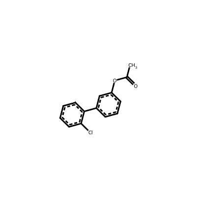 CC(=O)Oc1cccc(-c2[c]cccc2Cl)c1